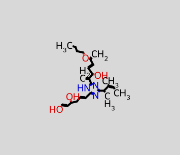 C=C(C=CC(O)C(=C)C(=N)\N=C(/N=C/C=C/CC(O)/C=C/O)C(C)/C(C)=C\C)OCCCC